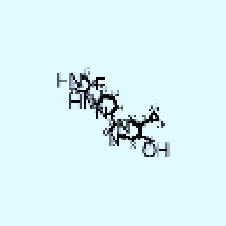 OCc1cc2ncc(-c3cccc(N[C@H]4CNC[C@@H]4F)n3)n2cc1C1CC1